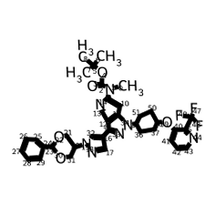 CN(C(=O)OC(C)(C)C)c1cc2c(cn1)c(-c1cnn(C3COC(c4ccccc4)OC3)c1)nn2C1CCC(Oc2cccnc2C(F)(F)F)CC1